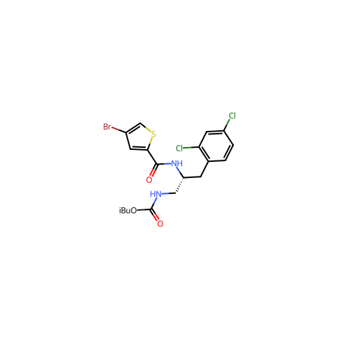 CC(C)COC(=O)NC[C@@H](Cc1ccc(Cl)cc1Cl)NC(=O)c1cc(Br)cs1